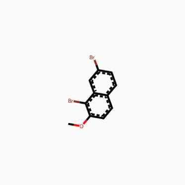 COc1ccc2ccc(Br)cc2c1Br